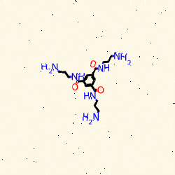 NCCCNC(=O)c1cc(C(=O)NCCCN)cc(C(=O)NCCCN)c1